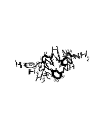 CC(=O)Nc1cc(Nc2cc(Nc3ccc(OCCO)cn3)c3ncc(N)n3n2)ccc1C